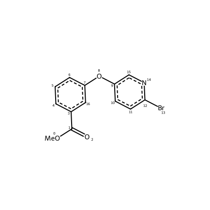 COC(=O)c1cccc(Oc2ccc(Br)nc2)c1